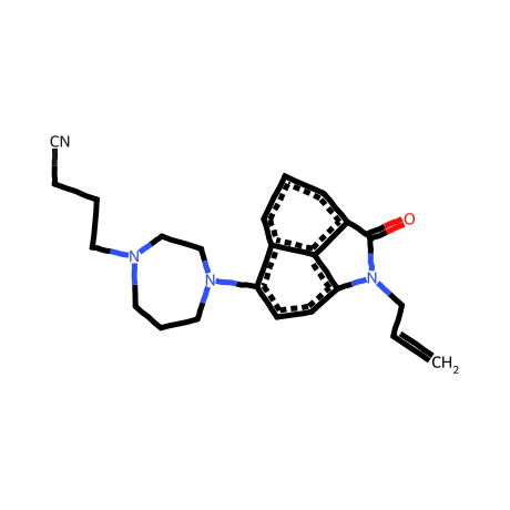 C=CCN1C(=O)c2cccc3c(N4CCCN(CCCC#N)CC4)ccc1c23